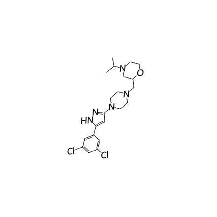 CC(C)N1CCOC(CN2CCN(c3cc(-c4cc(Cl)cc(Cl)c4)[nH]n3)CC2)C1